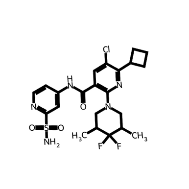 CC1CN(c2nc(C3CCC3)c(Cl)cc2C(=O)Nc2ccnc(S(N)(=O)=O)c2)CC(C)C1(F)F